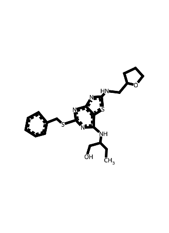 CCC(CO)Nc1nc(SCc2ccccc2)nc2nc(NCC3CCCO3)sc12